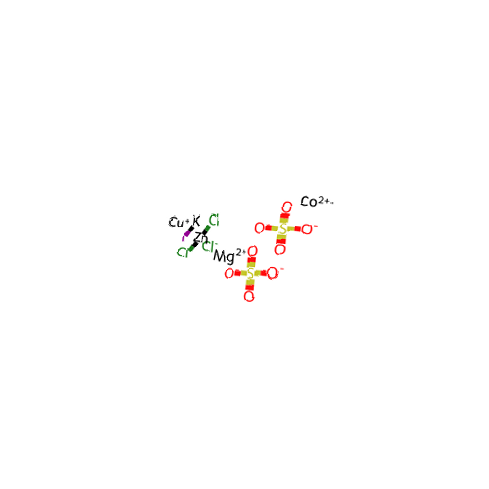 O=S(=O)([O-])[O-].O=S(=O)([O-])[O-].[Cl-].[Cl][Zn][Cl].[Co+2].[Cu+].[K][I].[Mg+2]